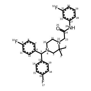 CC1(C)CN(C(c2ccc(F)cc2)c2ccc(F)cc2)CCN1CC(=O)Nc1cccc(F)c1